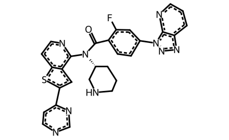 O=C(c1ccc(-n2nnc3cccnc32)cc1F)N(c1nccc2sc(-c3ccncn3)cc12)[C@@H]1CCCNC1